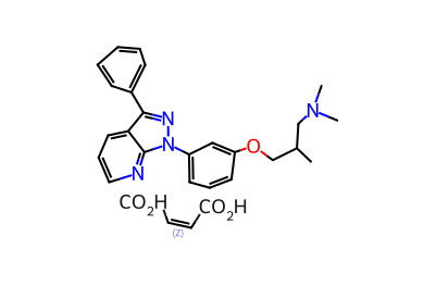 CC(COc1cccc(-n2nc(-c3ccccc3)c3cccnc32)c1)CN(C)C.O=C(O)/C=C\C(=O)O